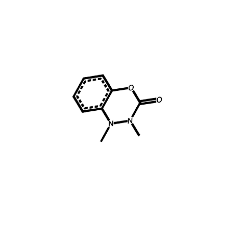 CN1C(=O)Oc2ccccc2N1C